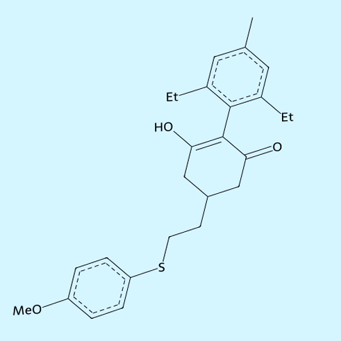 CCc1cc(C)cc(CC)c1C1=C(O)CC(CCSc2ccc(OC)cc2)CC1=O